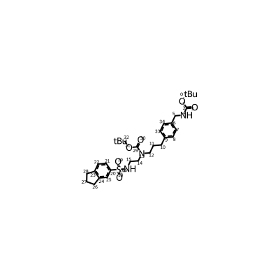 CC(C)(C)OC(=O)NCc1ccc(CCCN(CCNS(=O)(=O)c2ccc3c(c2)CCC3)C(=O)OC(C)(C)C)cc1